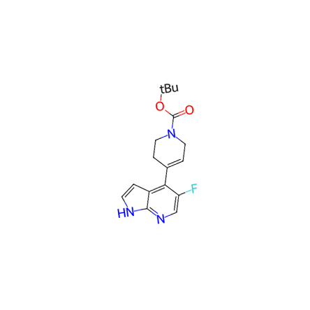 CC(C)(C)OC(=O)N1CC=C(c2c(F)cnc3[nH]ccc23)CC1